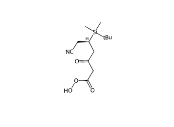 CC(C)(C)[Si](C)(C)[C@H](CC#N)CC(=O)CC(=O)OO